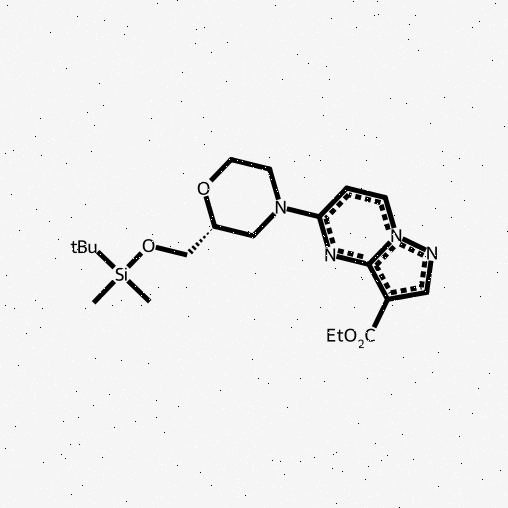 CCOC(=O)c1cnn2ccc(N3CCO[C@@H](CO[Si](C)(C)C(C)(C)C)C3)nc12